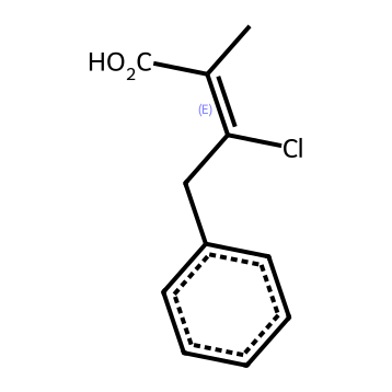 C/C(C(=O)O)=C(\Cl)Cc1ccccc1